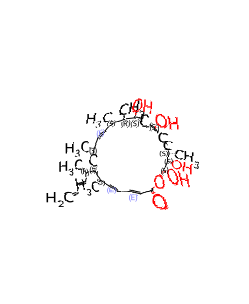 C=CC=C[C@H](C)[C@@H]1C[C@H](C)/C=C/[C@H](C)[C@@H](C)[C@@H](O)C[C@@H](O)CC[C@H](C)[C@H](O)[C@@H](O)OC(=O)/C=C/C=C/[C@H]1C